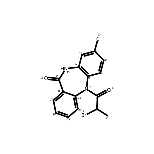 CC(Br)C(=O)N1c2ccc(Cl)cc2NC(=O)c2ccccc21